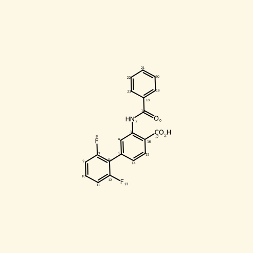 O=C(Nc1cc(-c2c(F)cccc2F)ccc1C(=O)O)c1ccccc1